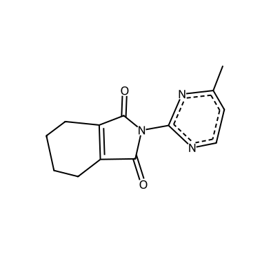 Cc1ccnc(N2C(=O)C3=C(CCCC3)C2=O)n1